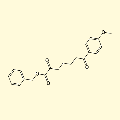 COc1ccc(C(=O)CCCCC(=O)C(=O)OCc2ccccc2)cc1